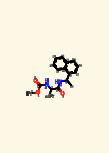 CC(C)OC(=O)NC(C(=O)NC(C)c1cccc2ccccc12)C(C)C